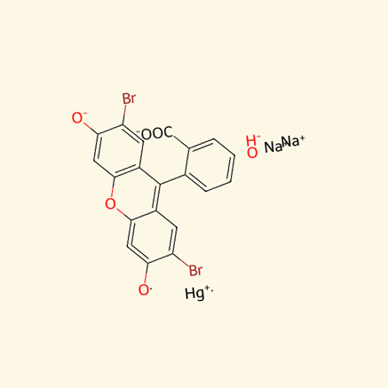 [Hg+].[Na+].[Na+].[OH-].[O]C1=C=C2Oc3cc([O-])c(Br)cc3C(c3ccccc3C(=O)[O-])=C2C=C1Br